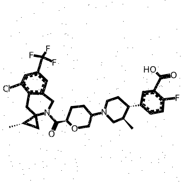 C[C@H]1CN(C2CC[C@H](C(=O)N3Cc4cc(C(F)(F)F)cc(Cl)c4CC34C[C@@H]4C)OC2)CC[C@@H]1c1ccc(F)c(C(=O)O)c1